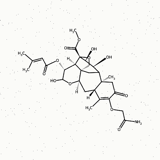 COC(=O)[C@@]12OC[C@]34CC([C@@H](O)[C@@H]1O)[C@@]1(C)CC(=O)C(OCC(N)=O)=C(C)[C@@H]1C[C@H]3OC(O)[C@H](OC(=O)C=C(C)C)[C@H]42